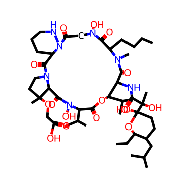 CCCCC1C(=O)N(O)CC(=O)N2NCCCC2C(=O)N2CCC(C)(OCC(=O)O)C2C(=O)N(O)C(C(C)C)C(=O)OC(C(C)C)C(NC(=O)C(C)(O)C2(O)CCC(CC(C)C)C(CC)O2)C(=O)N1C